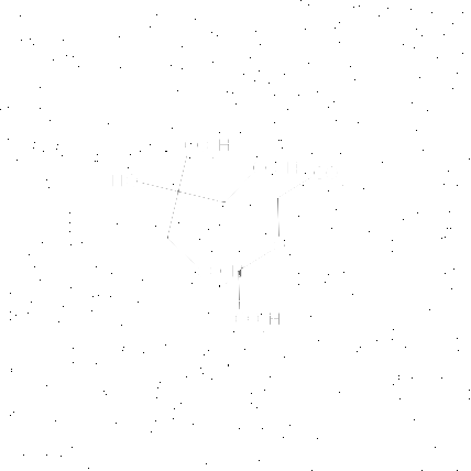 O=C(O)CC(O)(CC(=O)O)C(=O)O.O=C(O)COCC(=O)O